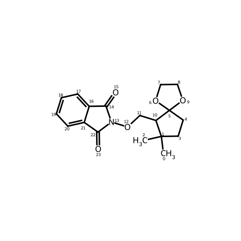 CC1(C)CCC2(OCCO2)C1CON1C(=O)c2ccccc2C1=O